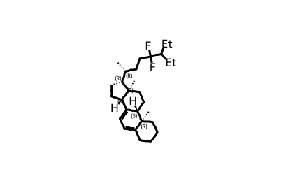 CCC(CC)C(F)(F)CC[C@@H](C)[C@H]1CC[C@H]2C3=CC=C4CCCC[C@]4(C)[C@H]3CC[C@]12C